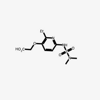 CCc1nc(NS(=O)(=O)N(C)C)ccc1OCC(=O)O